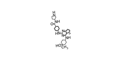 CC1(O)CCC(Nc2nc(Nc3ccc(C(=O)NC4CCNC4)cc3)nc3ccsc23)CC1